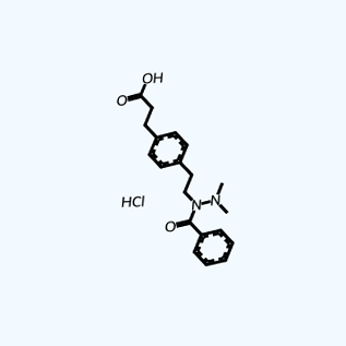 CN(C)N(CCc1ccc(CCC(=O)O)cc1)C(=O)c1ccccc1.Cl